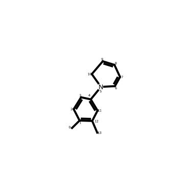 Cc1ccc(N2C=CC=CC2)cc1C